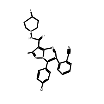 Cc1nn2c(-c3ccc(Cl)cc3)c(-c3ccccc3C#N)cnc2c1C(=O)NN1CCC(F)CC1